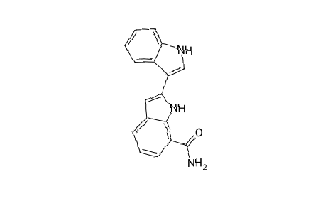 NC(=O)c1cccc2cc(-c3c[nH]c4ccccc34)[nH]c12